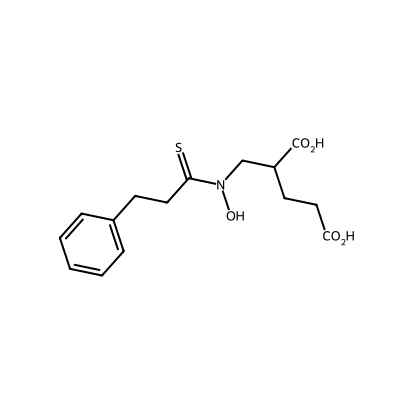 O=C(O)CCC(CN(O)C(=S)CCc1ccccc1)C(=O)O